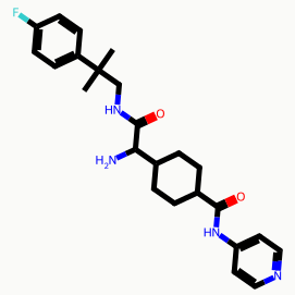 CC(C)(CNC(=O)C(N)C1CCC(C(=O)Nc2ccncc2)CC1)c1ccc(F)cc1